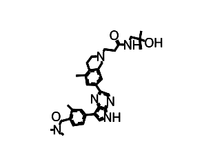 Cc1cc(-c2c[nH]c3ncc(-c4cc(C)c5c(c4)CN(CCC(=O)NCC(C)(C)O)CC5)nc23)ccc1C(=O)N(C)C